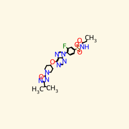 CCC(=O)NS(=O)(=O)c1ccc(-n2cnc3c(OC4CCN(c5nc(C(C)C)no5)CC4)ncnc32)c(F)c1